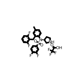 Cc1ccc(N([C@H]2CCNC2)S(=O)(=O)c2ccc(F)c(F)c2)c(Cc2c(F)cccc2F)c1.O=C(O)C(F)(F)F